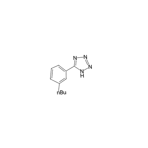 CCCCc1cccc(-c2nnn[nH]2)c1